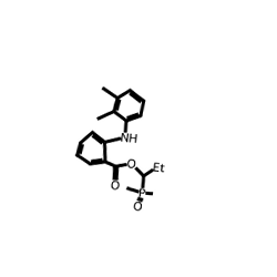 CCC(OC(=O)c1ccccc1Nc1cccc(C)c1C)P(C)(C)=O